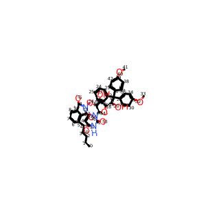 CCCCCc1cccc2c1C(=O)N(O[C@@H]1[C@H](O)[C@@H](C(O)C(c3ccccc3)(c3ccc(OC)cc3)c3ccc(OC)cc3)O[C@H]1n1ccc(=O)[nH]c1=O)C2=O